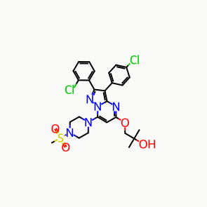 CC(C)(O)COc1cc(N2CCN(S(C)(=O)=O)CC2)n2nc(-c3ccccc3Cl)c(-c3ccc(Cl)cc3)c2n1